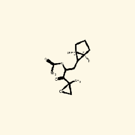 CC1(C(=O)C(CC2[C@H]3CCC[C@@H]23)OC(N)=O)CO1